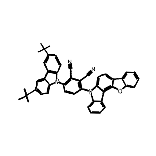 CC(C)(C)c1ccc2c(c1)c1cc(C(C)(C)C)ccc1n2-c1ccc(-n2c3ccccc3c3c4oc5ccccc5c4ccc32)c(C#N)c1C#N